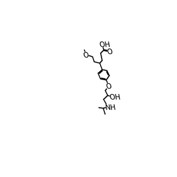 COCCC(CCC(=O)O)c1ccc(OCC(O)CNC(C)C)cc1